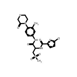 Cc1cc(NC(=O)C(CS(C)(=O)=O)NC(=O)c2ccc(Cl)s2)ccc1N1CCOCC1=O